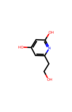 OCCc1cc(O)cc(O)n1